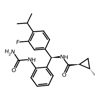 CC(C)c1ccc([C@@H](NC(=O)[C@H]2C[C@@H]2F)c2ccccc2NC(N)=O)cc1F